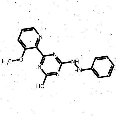 COc1cccnc1-c1nc(O)nc(NNc2ccccc2)n1